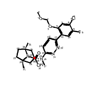 COCOc1cc(Cl)c(F)cc1-c1ccc(N(C)[C@@H]2C[C@]3(C)CC[C@](C)(C2)N3C(=O)O)nn1